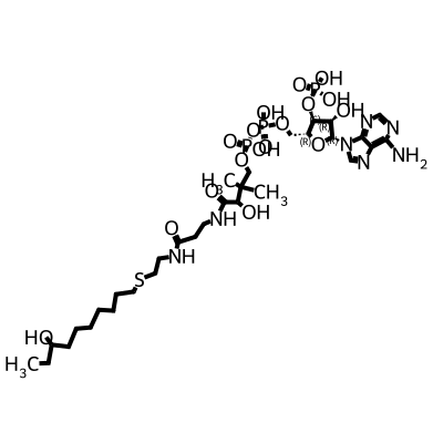 CCC(O)CCCCCCCSCCNC(=O)CCNC(=O)C(O)C(C)(C)COP(=O)(O)OP(=O)(O)OC[C@H]1O[C@@H](n2cnc3c(N)ncnc32)[C@H](O)[C@@H]1OP(=O)(O)O